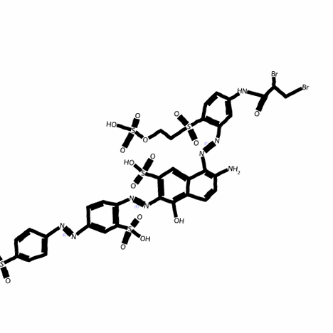 Nc1ccc2c(O)c(/N=N/c3ccc(/N=N/c4ccc(S(=O)(=O)O)cc4)cc3S(=O)(=O)O)c(S(=O)(=O)O)cc2c1/N=N/c1cc(NC(=O)C(Br)CBr)ccc1S(=O)(=O)CCOS(=O)(=O)O